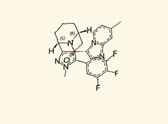 Cc1ccn2c(C(=O)N3[C@@H]4CCC[C@H]3c3nn(C)c(-c5cc(F)c(F)c(F)c5)c3C4)cnc2c1